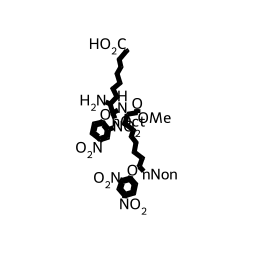 CCCCCCCCCC(CCCCCCC(NC(CCCCCCCC)(Oc1ccc([N+](=O)[O-])cc1[N+](=O)[O-])C(N)CCCCCCCC(=O)O)C(=O)OC)Oc1ccc([N+](=O)[O-])cc1[N+](=O)[O-]